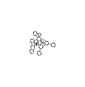 c1ccc(-c2cc3c4c(c2)c2cc(-c5ccccc5)cc5c6c7oc8ccccc8c7c7c(c6n4c25)B3n2c3cc4ccccc4cc3c3cccc-7c32)cc1